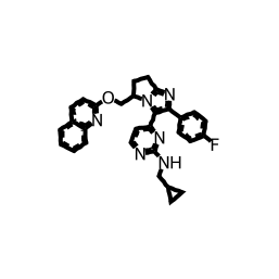 Fc1ccc(-c2nc3n(c2-c2ccnc(NCC4CC4)n2)C(COc2ccc4ccccc4n2)CC3)cc1